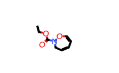 CCOC(=O)N1CC=CC=CO1